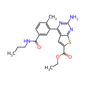 CCCNC(=O)c1ccc(C)c(-c2nc(N)nc3sc(C(=O)OCC)cc23)c1